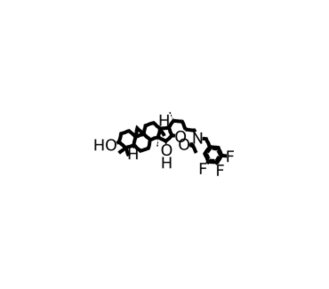 CC(=O)N(Cc1cc(F)c(F)c(F)c1)CC1C[C@@H](C)[C@H]2C(O1)[C@H](O)[C@@]1(C)C3CC[C@H]4C(C)(C)C(O)CCC45CC35CCC21C